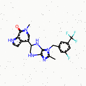 Cc1nc2c(n1Cc1cc(F)cc(C(F)(F)F)c1)NC(c1cn(C)c(=O)c3[nH]ccc13)CN2